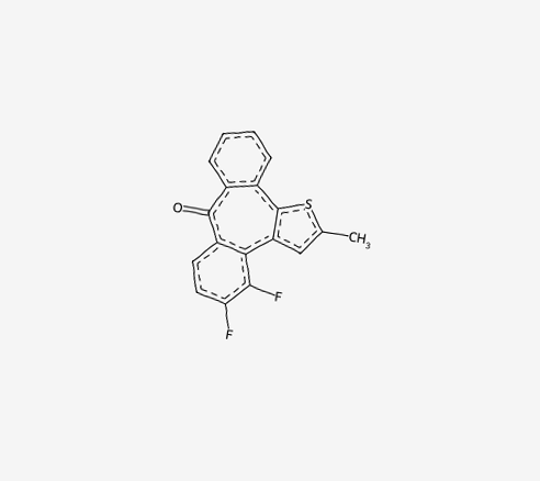 Cc1cc2c(s1)c1ccccc1c(=O)c1ccc(F)c(F)c12